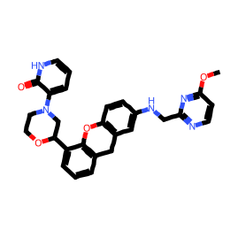 COc1ccnc(CNc2ccc3c(c2)Cc2cccc(C4CN(c5ccc[nH]c5=O)CCO4)c2O3)n1